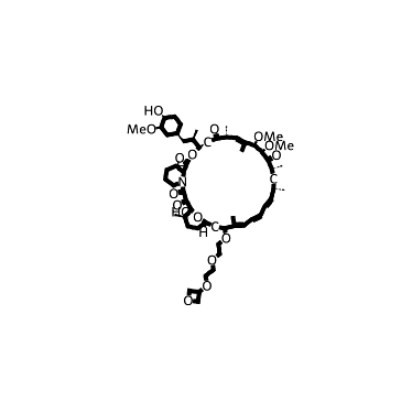 CO[C@@H]1/C(C)=C/[C@@H](C)C(=O)C[C@@H]([C@H](C)C[C@@H]2CC[C@@H](O)[C@H](OC)C2)OC(=O)[C@@H]2CCCCN2C(=O)C(=O)[C@]2(O)O[C@@H](CC[C@H]2C)CC(OCCOCCOC2COC2)/C(C)=C/C=C/C=C/[C@@H](C)C[C@@H](C)C(=O)[C@@H]1OC